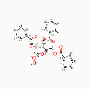 O=C(OC[C@H]1O[C@H](OBr)[C@@H](OC(=O)c2ccccc2)[C@@H]1OC(=O)c1ccccc1)c1ccccc1